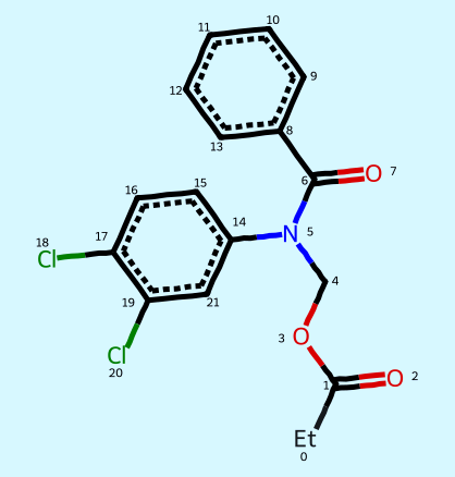 CCC(=O)OCN(C(=O)c1ccccc1)c1ccc(Cl)c(Cl)c1